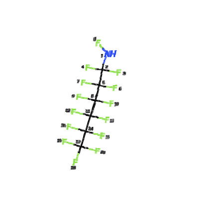 FNC(F)(F)C(F)(F)C(F)(F)C(F)(F)C(F)(F)C(F)(F)F